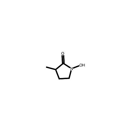 CC1CCN(O)C1=O